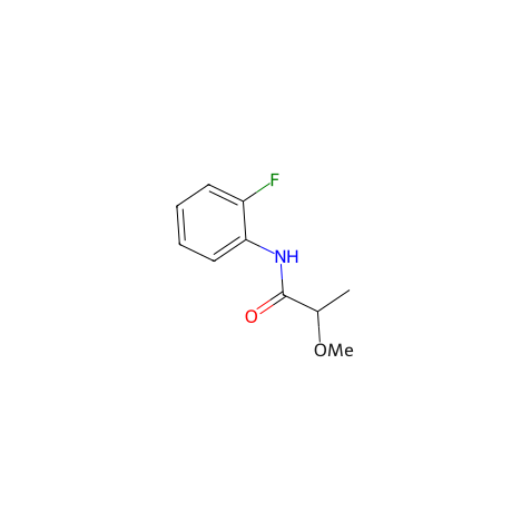 COC(C)C(=O)Nc1ccccc1F